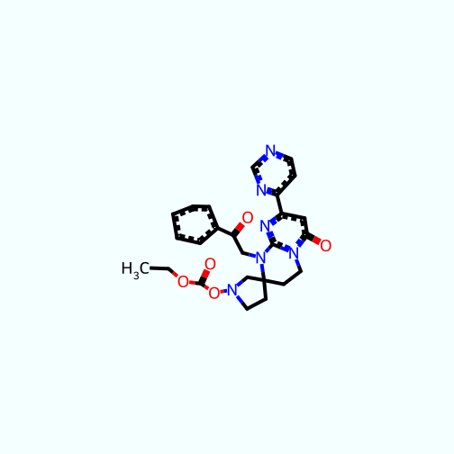 CCOC(=O)ON1CCC2(CCn3c(nc(-c4ccncn4)cc3=O)N2CC(=O)c2ccccc2)C1